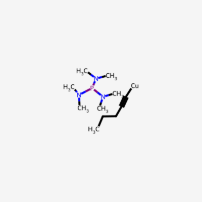 CCCC#[C][Cu].CN(C)P(N(C)C)N(C)C